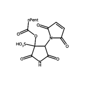 CCCCCC(=O)OC1(S(=O)(=O)O)C(=O)NC(=O)C1N1C(=O)C=CC1=O